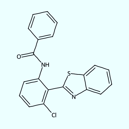 O=C(Nc1cccc(Cl)c1-c1nc2ccccc2s1)c1ccccc1